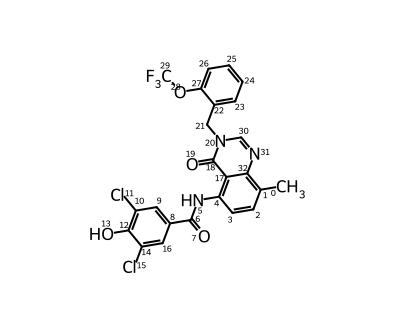 Cc1ccc(NC(=O)c2cc(Cl)c(O)c(Cl)c2)c2c(=O)n(Cc3ccccc3OC(F)(F)F)cnc12